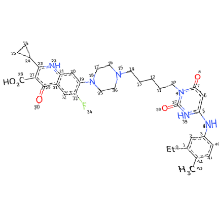 CCc1cc(Nc2cc(=O)n(CCCCCN3CCN(c4cc5[nH]c(C6CC6)c(C(=O)O)c(=O)c5cc4F)CC3)c(=O)[nH]2)ccc1C